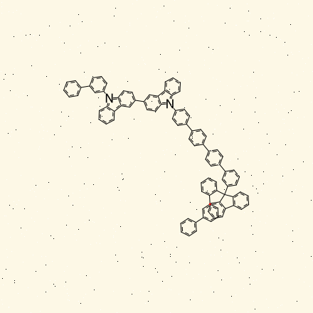 c1ccc(-c2cccc(-c3ccccc3C3(c4cccc(-c5ccc(-c6ccc(-c7ccc(-n8c9ccccc9c9cc(-c%10ccc%11c(c%10)c%10ccccc%10n%11-c%10cccc(-c%11ccccc%11)c%10)ccc98)cc7)cc6)cc5)c4)c4ccccc4-c4ccccc43)c2)cc1